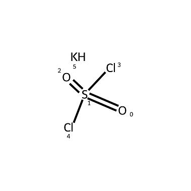 O=S(=O)(Cl)Cl.[KH]